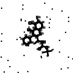 CC(NC(=O)OC(C)(C)C)c1nc2ccc(F)c(Cl)c2c(=O)n1-c1cccnc1